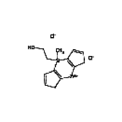 C[Si]1(CCO)C2=[C](CC=C2)[Zr+2][C]2=C1C=CC2.[Cl-].[Cl-]